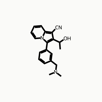 CC(O)c1c(C#N)c2ccccn2c1-c1cccc(CN(C)C)c1